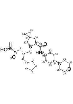 O=C(C[C@@H](CC1CCCC1)CN1CC2(CC2)C[C@H]1C(=O)Nc1ccc(N2CCOCC2)cc1)NO